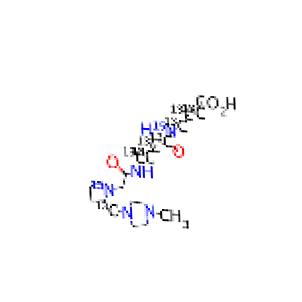 CN1CCN([13CH2]C2CCC[15N]2CC(=O)N[13CH2][13CH2][13CH2][13C](=O)[15NH][13CH2][13CH2][13CH2][13C](=O)O)CC1